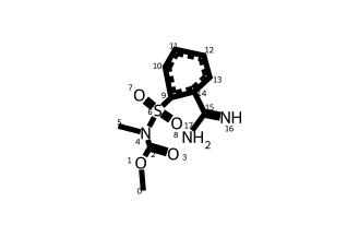 COC(=O)N(C)S(=O)(=O)c1ccccc1C(=N)N